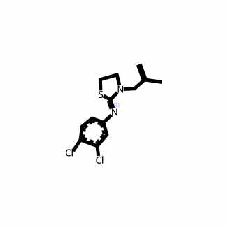 C=C(C)CN1CCS/C1=N\c1ccc(Cl)c(Cl)c1